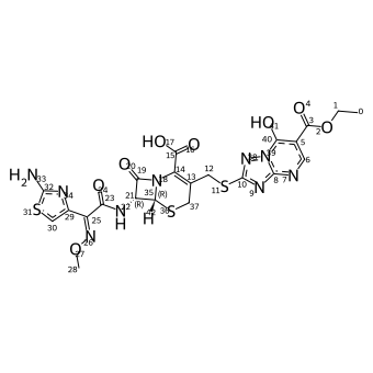 CCOC(=O)c1cnc2nc(SCC3=C(C(=O)O)N4C(=O)[C@@H](NC(=O)C(=NOC)c5csc(N)n5)[C@H]4SC3)nn2c1O